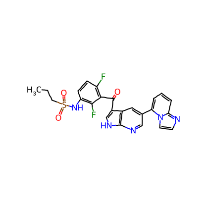 CCCS(=O)(=O)Nc1ccc(F)c(C(=O)c2c[nH]c3ncc(-c4cccc5nccn45)cc23)c1F